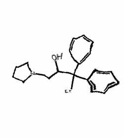 CCC(c1ccccc1)(c1ccccc1)C(O)CN1CCCC1